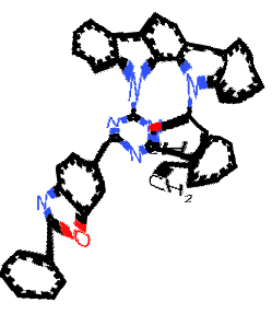 C=C/C=C\C(=C/C)n1c2ccccc2c2ccc3c4ccccc4n(-c4nc(-c5ccccc5)nc(-c5ccc6nc(-c7ccccc7)oc6c5)n4)c3c21